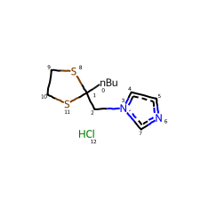 CCCCC1(Cn2ccnc2)SCCS1.Cl